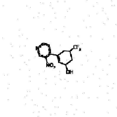 O=[N+]([O-])c1cnccc1C1=CC(O)CC(C(F)(F)F)C1